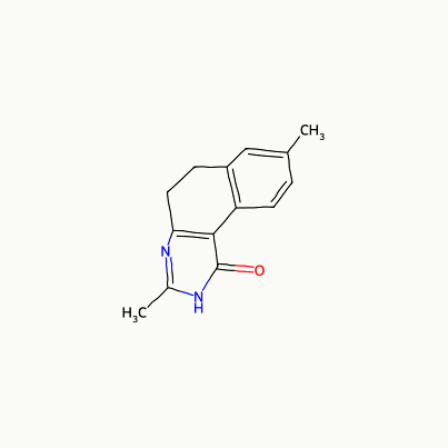 Cc1ccc2c(c1)CCc1nc(C)[nH]c(=O)c1-2